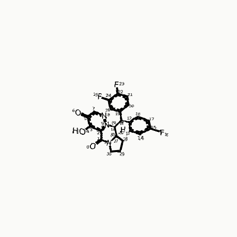 O=C1c2c(O)c(=O)cnn2[C@@H]([C@H](c2ccc(F)cc2)c2ccc(F)c(F)c2)[C@H]2CCCN12